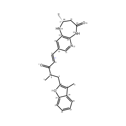 Cc1c(CN(C)C(=O)/C=C/c2cnc3c(c2)N[C@H](C)CC(=O)N3)oc2ccccc12